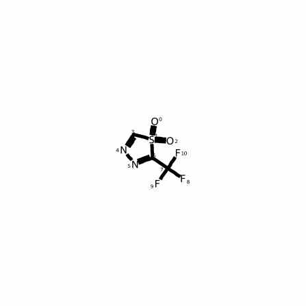 O=S1(=O)C=NN=C1C(F)(F)F